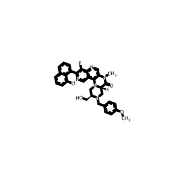 COc1ccc(CN2C[C@H]3C(=O)N(C)c4cnc5c(F)c(-c6cccc7cccc(Cl)c67)ncc5c4N3C[C@@H]2CO)cc1